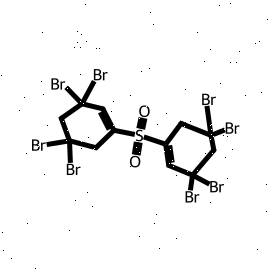 O=S(=O)(C1=CC(Br)(Br)CC(Br)(Br)C1)C1=CC(Br)(Br)CC(Br)(Br)C1